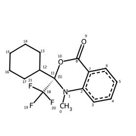 CN1c2ccccc2C(=O)O[C@@]1(C1CCCCC1)C(F)(F)F